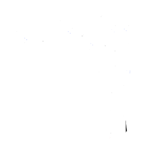 O=C(N[C@H]1CC[C@H](C(=O)O)CC1)c1cnn2ccc(NCc3cccnc3)nc12